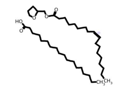 CCCCCCCC/C=C\CCCCCCCC(=O)OCC1CCCO1.CCCCCCCCCCCCCCCCCC(=O)O